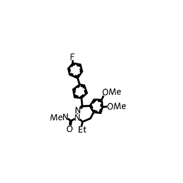 CCC1Cc2cc(OC)c(OC)cc2C(c2ccc(-c3ccc(F)cc3)cc2)=NN1C(=O)NC